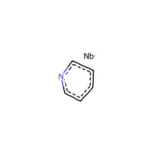 [Nb].c1ccncc1